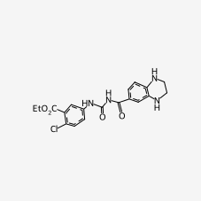 CCOC(=O)c1cc(NC(=O)NC(=O)c2ccc3c(c2)NCCN3)ccc1Cl